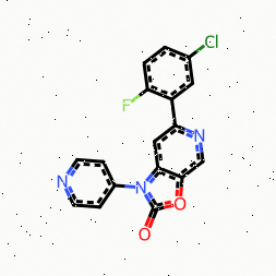 O=c1oc2cnc(-c3cc(Cl)ccc3F)cc2n1-c1ccncc1